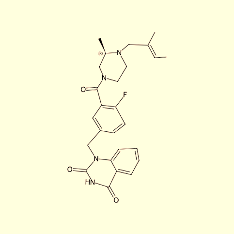 CC=C(C)CN1CCN(C(=O)c2cc(Cn3c(=O)[nH]c(=O)c4ccccc43)ccc2F)C[C@H]1C